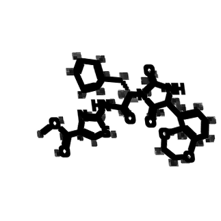 COC(=O)c1csc(NC(=O)[C@H](Cc2ccccc2)N2C(=O)NC(c3cccc4c3OCCO4)C2=O)n1